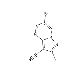 Cc1nn2cc(Br)cnc2c1C#N